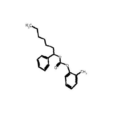 CCCCCCC(OC(=O)Oc1ccccc1C)c1ccccc1